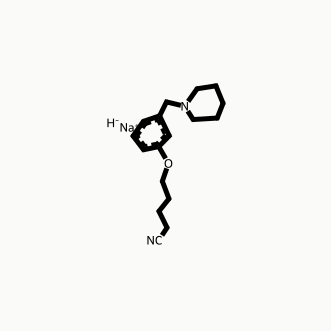 N#CCCCCOc1cccc(CN2CCCCC2)c1.[H-].[Na+]